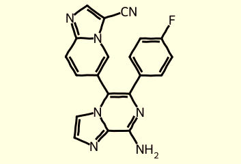 N#Cc1cnc2ccc(-c3c(-c4ccc(F)cc4)nc(N)c4nccn34)cn12